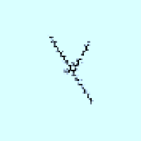 CCCCCCCCCCCCSc1cc(C(C)CCCCCCCC)cc(SCCCCCCCCCCCC)c1O